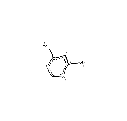 CC(=O)c1cc(C(C)=O)ncn1